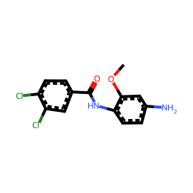 COc1cc(N)ccc1NC(=O)c1ccc(Cl)c(Cl)c1